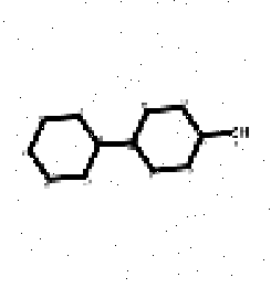 SC1CCC(C2CCCCC2)CC1